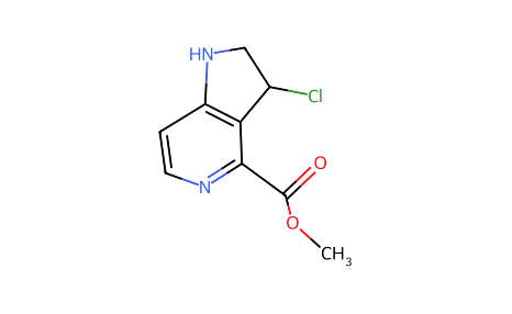 COC(=O)c1nccc2c1C(Cl)CN2